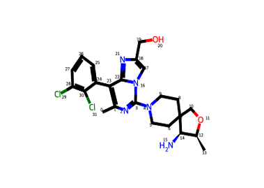 Cc1nc(N2CCC3(CC2)CO[C@@H](C)[C@H]3N)n2cc(CO)nc2c1-c1cccc(Cl)c1Cl